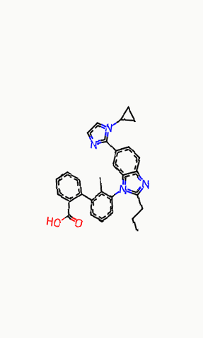 CCCc1nc2ccc(-c3nccn3C3CC3)cc2n1-c1cccc(-c2ccccc2C(=O)O)c1C